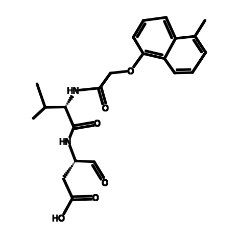 Cc1cccc2c(OCC(=O)N[C@H](C(=O)N[C@H](C=O)CC(=O)O)C(C)C)cccc12